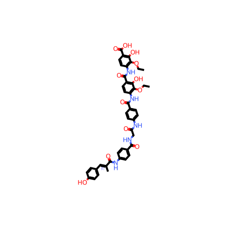 CCOc1c(NC(=O)c2ccc(NC(=O)c3ccc(NC(=O)CNC(=O)c4ccc(NC(=O)/C(C)=C/c5ccc(O)cc5)cc4)cc3)c(OCC)c2O)ccc(C(=O)O)c1O